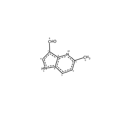 Cc1ccc2[nH]cc(C=O)c2n1